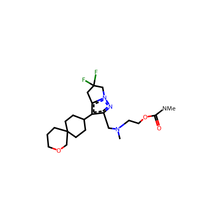 CNC(=O)OCCN(C)Cc1nn2c(c1C1CCC3(CCCOC3)CC1)CC(F)(F)C2